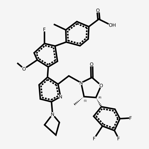 COc1cc(F)c(-c2ccc(C(=O)O)cc2C)cc1-c1ccc(N2CCC2)nc1CN1C(=O)O[C@H](c2cc(F)c(F)c(F)c2)[C@@H]1C